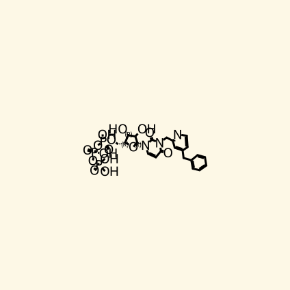 O=c1ccn([C@@H]2O[C@H](COP(=O)(O)OP(=O)(O)OP(=O)(O)O)[C@H](O)C2O)c(=O)n1Cc1cc(Cc2ccccc2)ccn1